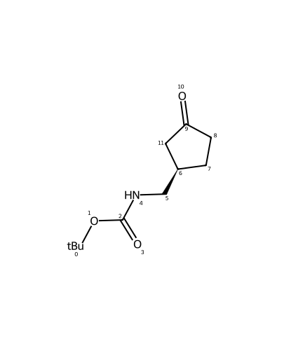 CC(C)(C)OC(=O)NC[C@@H]1CCC(=O)C1